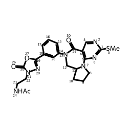 CSc1ncc2c(n1)N1CCCC1CN(c1cccc(-c3nn(CCNC(C)=O)c(=O)o3)c1)C2=O